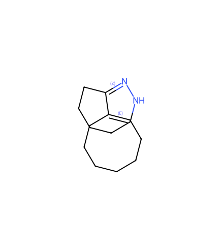 C1=C(/C2=N\NCCCCC2)CCCCCC/1